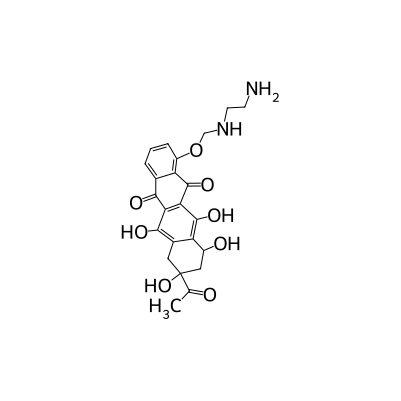 CC(=O)C1(O)Cc2c(O)c3c(c(O)c2C(O)C1)C(=O)c1c(OCNCCN)cccc1C3=O